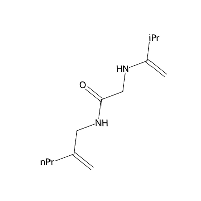 C=C(CCC)CNC(=O)CNC(=C)C(C)C